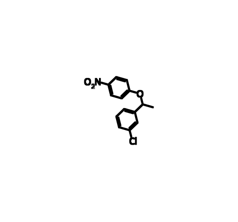 CC(Oc1ccc([N+](=O)[O-])cc1)c1cccc(Cl)c1